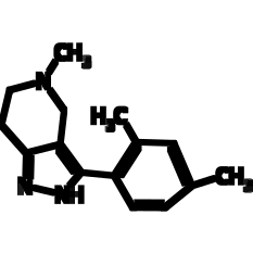 Cc1ccc(-c2[nH]nc3c2CN(C)CC3)c(C)c1